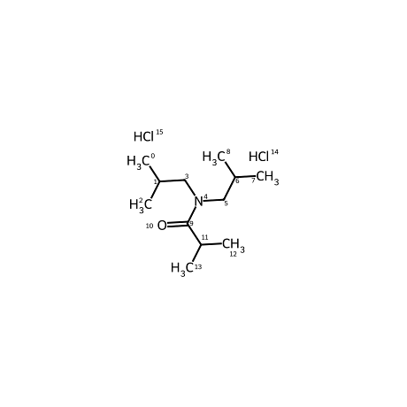 CC(C)CN(CC(C)C)C(=O)C(C)C.Cl.Cl